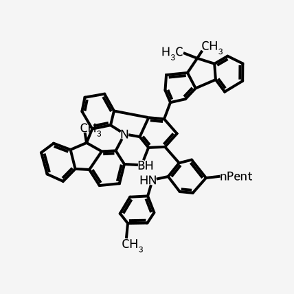 CCCCCc1ccc(Nc2ccc(C)cc2)c(-c2cc(-c3ccc4c(c3)-c3ccccc3C4(C)C)c3c4cccc5c4n4c3c2Bc2ccc3c(c2-4)C5(C)c2ccccc2-3)c1